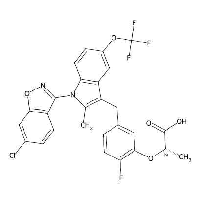 Cc1c(Cc2ccc(F)c(O[C@@H](C)C(=O)O)c2)c2cc(OC(F)(F)F)ccc2n1-c1noc2cc(Cl)ccc12